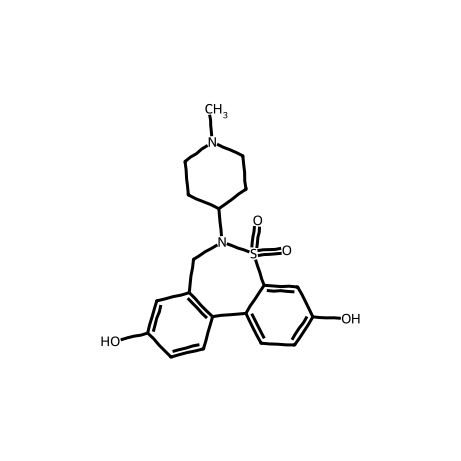 CN1CCC(N2Cc3cc(O)ccc3-c3ccc(O)cc3S2(=O)=O)CC1